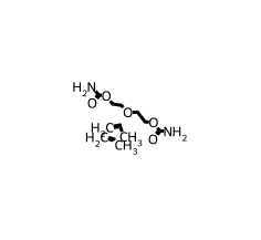 C=CC.C=CC.NC(=O)OCCOCCOC(N)=O